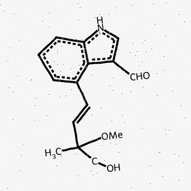 COC(C)(C=Cc1cccc2[nH]cc(C=O)c12)CO